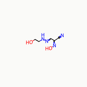 N#CC(C=NNCCO)=NO